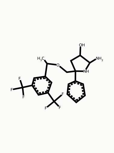 CC(OCC1(c2ccccc2)CC(O)C(N)N1)c1cc(C(F)(F)F)cc(C(F)(F)F)c1